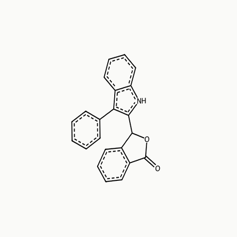 O=C1OC(c2[nH]c3ccccc3c2-c2ccccc2)c2ccccc21